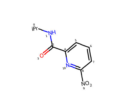 CC(C)NC(=O)c1cccc([N+](=O)[O-])n1